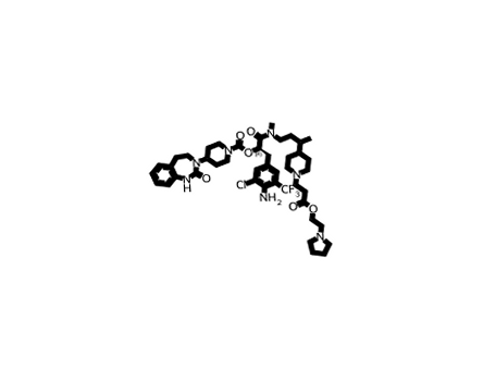 CC(CCN(C)C(=O)[C@@H](Cc1cc(Cl)c(N)c(C(F)(F)F)c1)OC(=O)N1CCC(N2CCc3ccccc3NC2=O)CC1)C1CCN(CCC(=O)OCCN2CCCC2)CC1